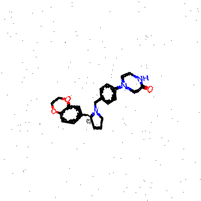 O=C1CN(c2ccc(CN3CCC[C@H]3c3ccc4c(c3)OCCO4)cc2)CCN1